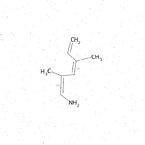 C=C/C(C)=C\C(C)=C/N